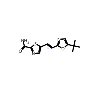 CC(C)(C)c1cnc(/C=C/c2cnc(C(N)=O)s2)o1